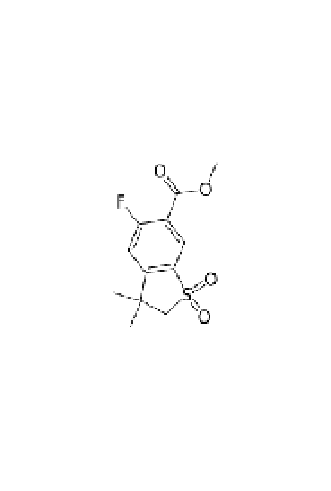 COC(=O)c1cc2c(cc1F)C(C)(C)CS2(=O)=O